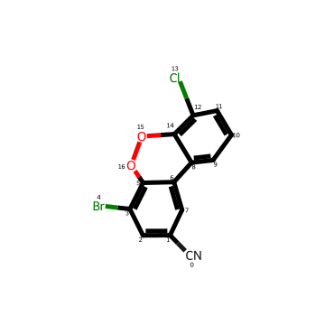 N#Cc1cc(Br)c2c(c1)-c1cccc(Cl)c1OO2